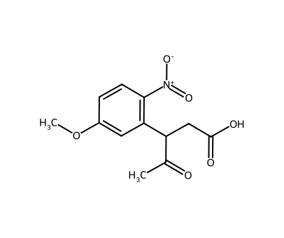 COc1ccc([N+](=O)[O-])c(C(CC(=O)O)C(C)=O)c1